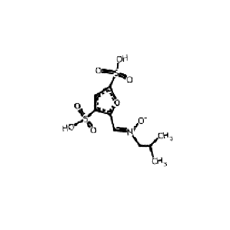 CC(C)C[N+]([O-])=Cc1oc(S(=O)(=O)O)cc1S(=O)(=O)O